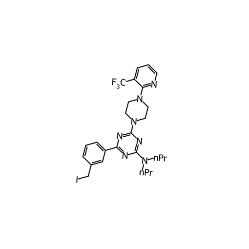 CCCN(CCC)c1nc(-c2cccc(CI)c2)nc(N2CCN(c3ncccc3C(F)(F)F)CC2)n1